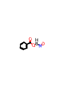 O=NBOC(=O)c1ccccc1